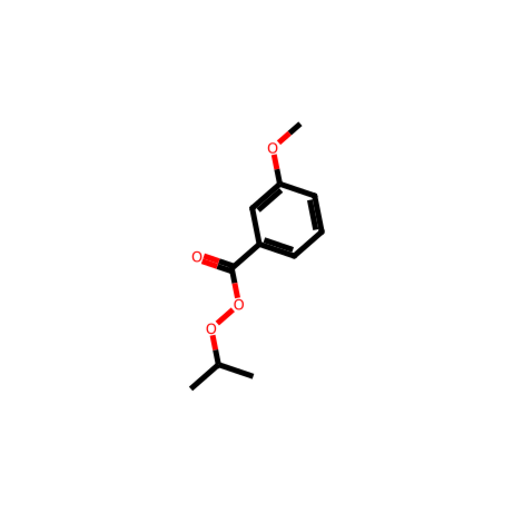 COc1cccc(C(=O)OO[C](C)C)c1